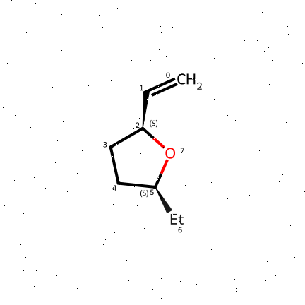 C=C[C@@H]1CC[C@H](CC)O1